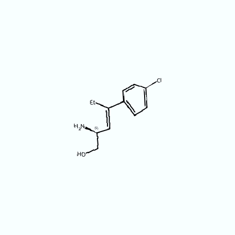 CCC(=C[C@H](N)CO)c1ccc(Cl)cc1